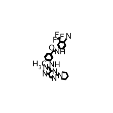 Cc1ccc(C(=O)Nc2ccc(C#N)c(C(F)(F)F)c2)cc1Nc1ncnc2cnc(N3CCCCC3)nc12